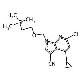 C[Si](C)(C)CCOCn1cc(C#N)c2c(C3CC3)cc(Cl)nc21